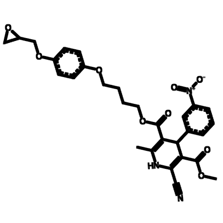 COC(=O)C1=C(C#N)NC(C)=C(C(=O)OCCCCOc2ccc(OCC3CO3)cc2)C1c1cccc([N+](=O)[O-])c1